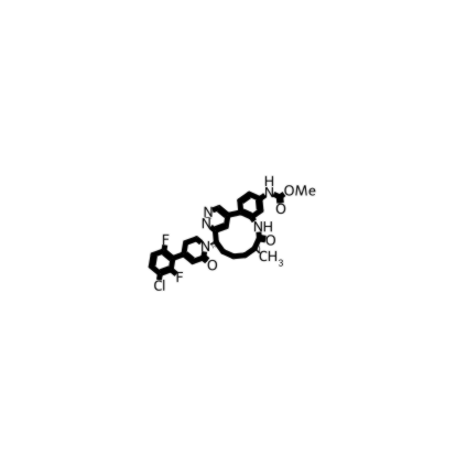 COC(=O)Nc1ccc2c(c1)NC(=O)[C@H](C)CCC[C@H](N1CCC(c3c(F)ccc(Cl)c3F)=CC1=O)c1cc-2cnn1